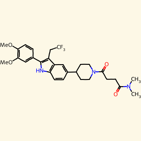 COc1ccc(-c2[nH]c3ccc(C4CCN(C(=O)CCC(=O)N(C)C)CC4)cc3c2CC(F)(F)F)cc1OC